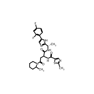 Cc1ncc(C(=O)NC(CC(=O)N2CCCCC2C)C(=O)N[C@@H](C)c2ncc(-c3ccc(F)cc3F)[nH]2)s1